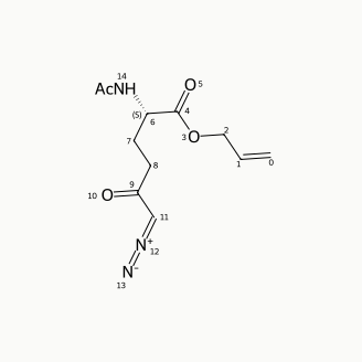 C=CCOC(=O)[C@H](CCC(=O)C=[N+]=[N-])NC(C)=O